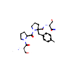 Cc1ccc(CC2(C(=O)N[C@H](C(N)=O)[C@@H](C)O)CCCN2C(=O)C2CCCN2C(=O)[C@@H](NC(=O)O)[C@@H](C)O)cc1